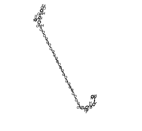 Cc1ccc(C(=O)Nc2ccc(CN3CCN(C(=O)CCOCCOCCOCCOCCOCCOCCOCCOCCOCCOCCOCCOCCOCCOCCOCCOCCOCCOCCOCCOCCOCCOCCOCCOCCNC(=O)C4CCN(c5ncc(C(=O)Nc6ccc(OC(F)(F)Cl)cc6)cc5-c5ccn[nH]5)CC4)CC3)c(C(F)(F)F)c2)cc1C#Cc1cnc2cccnn12